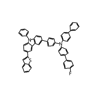 Fc1ccc(-c2ccc(N(c3ccc(-c4ccccc4)cc3)c3ccc(-c4ccc5c(c4)c4cc(-c6cc7ccccc7s6)ccc4n5-c4ccccc4)cc3)cc2)cc1